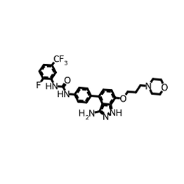 Nc1n[nH]c2c(OCCCN3CCOCC3)ccc(-c3ccc(NC(=O)Nc4cc(C(F)(F)F)ccc4F)cc3)c12